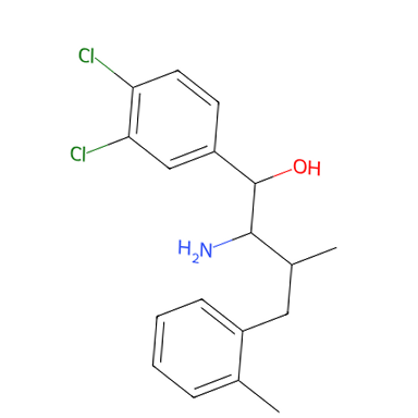 Cc1ccccc1CC(C)C(N)C(O)c1ccc(Cl)c(Cl)c1